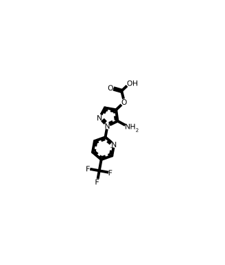 Nc1c(OC(=O)O)cnn1-c1ccc(C(F)(F)F)cn1